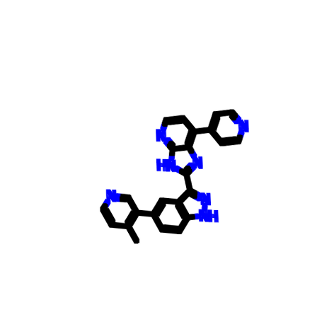 Cc1ccncc1-c1ccc2[nH]nc(-c3nc4c(-c5ccncc5)ccnc4[nH]3)c2c1